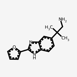 CC(C)(CN)c1ccc2[nH]c(-c3ccco3)nc2c1